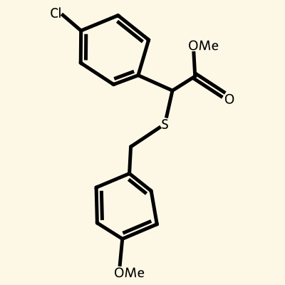 COC(=O)C(SCc1ccc(OC)cc1)c1ccc(Cl)cc1